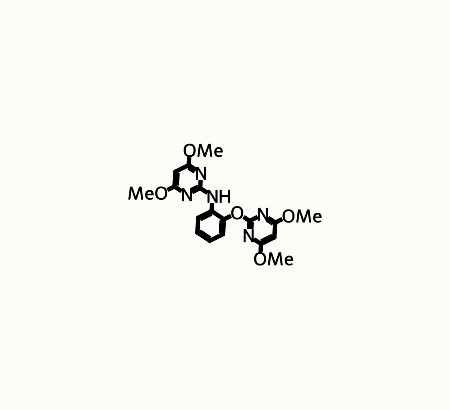 COc1cc(OC)nc(Nc2ccccc2Oc2nc(OC)cc(OC)n2)n1